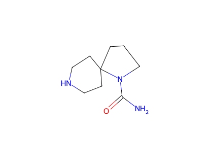 NC(=O)N1CCCC12CCNCC2